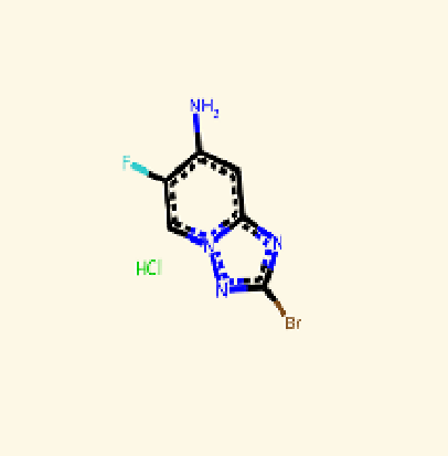 Cl.Nc1cc2nc(Br)nn2cc1F